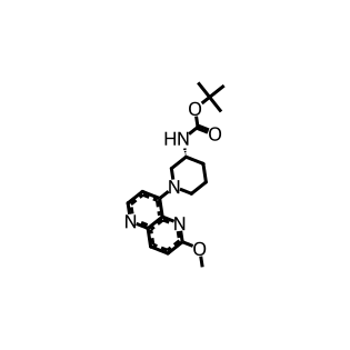 COc1ccc2nccc(N3CCC[C@@H](NC(=O)OC(C)(C)C)C3)c2n1